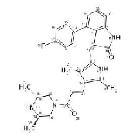 Cc1[nH]c(C=C2C(=O)Nc3cccc(-c4ccc(F)cc4)c32)c(C)c1CCC(=O)N1C[C@@H](C)N[C@H](C)C1